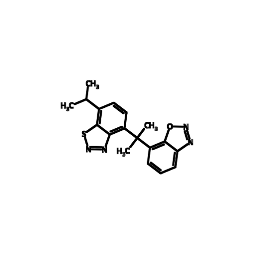 CC(C)c1ccc(C(C)(C)c2cccc3nnoc23)c2nnsc12